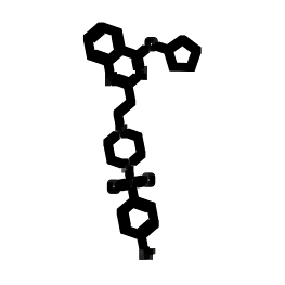 O=S(=O)(c1ccc(Br)cc1)N1CCN(CCc2nc(OC3CCCC3)c3ccccc3n2)CC1